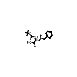 CC(C)(C)OC(=O)N[C@H](CNCc1ccccc1)C(=O)O